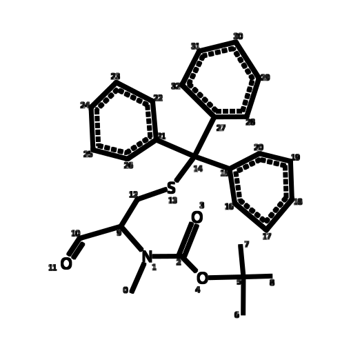 CN(C(=O)OC(C)(C)C)C(C=O)CSC(c1ccccc1)(c1ccccc1)c1ccccc1